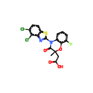 CC1(CC(=O)O)Oc2c(F)cccc2N(c2nc3c(Cl)c(Cl)ccc3s2)C1=O